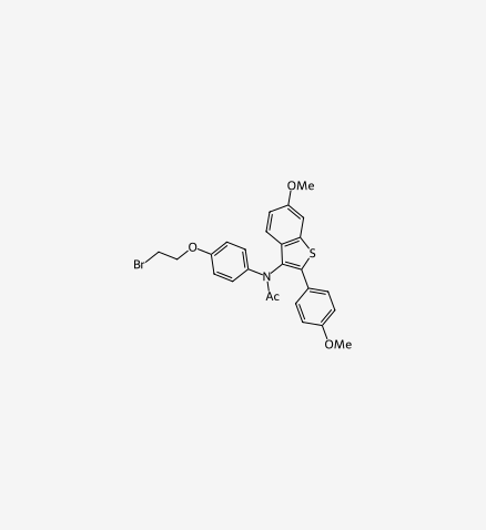 COc1ccc(-c2sc3cc(OC)ccc3c2N(C(C)=O)c2ccc(OCCBr)cc2)cc1